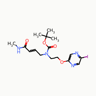 CNC(=O)/C=C/CN(CCOc1cnc(I)cn1)C(=O)OC(C)(C)C